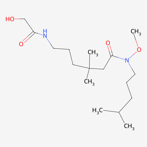 CON(CCCC(C)C)C(=O)CC(C)(C)CCCNC(=O)CO